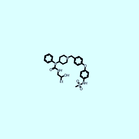 CCC(O)CNC(=O)N(c1ccccc1)C1CCN(Cc2ccc(Oc3ccc(NS(C)(=O)=O)cc3)cc2)CC1